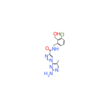 Cc1cnc(N)nc1-n1cnc(C(=O)NCc2cccc(Cl)c2CO)c1